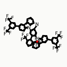 N#Cc1cc(-n2c3ccccc3c3cc(-c4cc(C(F)(F)F)cc(C(F)(F)F)c4)ccc32)c(-c2c(C(F)(F)F)cccc2C(F)(F)F)cc1-n1c2ccccc2c2cc(-c3cc(C(F)(F)F)cc(C(F)(F)F)c3)ccc21